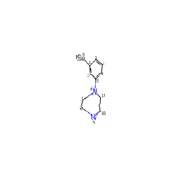 CC(C)(C)c1cccc(N2CC[N]CC2)c1